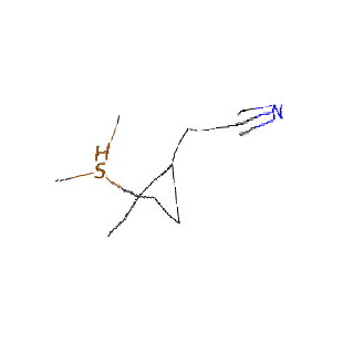 C[SH](C)C1(C)CC1CC#N